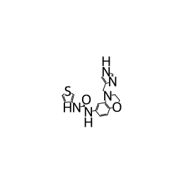 O=C(Nc1ccsc1)Nc1ccc2c(c1)N(Cc1c[nH]cn1)CCO2